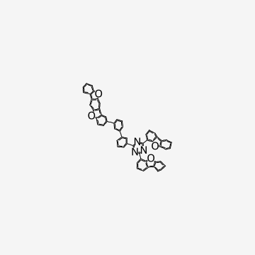 c1cc(-c2cccc(-c3nc(-c4cccc5c4oc4ccccc45)nc(-c4cccc5c4oc4ccccc45)n3)c2)cc(-c2ccc3oc4cc5c(cc4c3c2)oc2ccccc25)c1